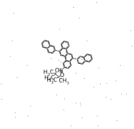 CC1(C)OB(c2ccc3c(-c4ccc5ccccc5c4)cc4c5ccccc5c(-c5ccc6ccccc6c5)cc4c3c2)OC1(C)C